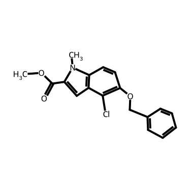 COC(=O)c1cc2c(Cl)c(OCc3ccccc3)ccc2n1C